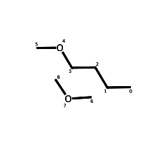 CCCCOC.COC